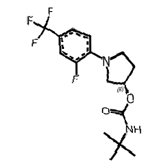 CC(C)(C)NC(=O)O[C@@H]1CCN(c2ccc(C(F)(F)F)cc2F)C1